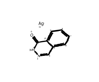 O=c1[nH]ncc2ccccc12.[Ag]